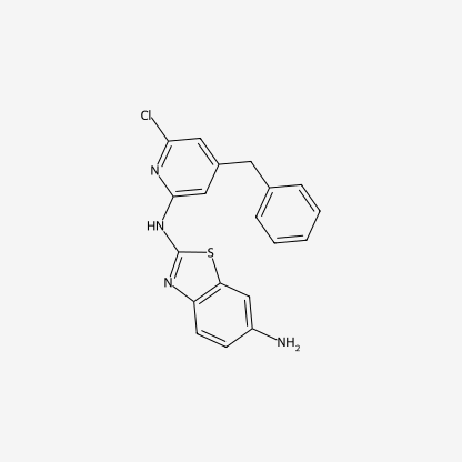 Nc1ccc2nc(Nc3cc(Cc4ccccc4)cc(Cl)n3)sc2c1